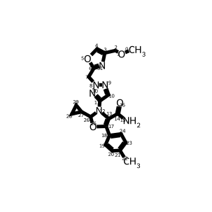 COCc1coc(Cn2ncc(N3C(C(N)=O)=C(c4ccc(C)cc4)OC3C3CC3)n2)n1